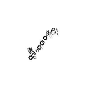 CCC(C)n1ncn(-c2ccc(N3CCN(c4ccc(OC[C@@H]5CO[C@@](Cn6cnnn6)(c6ccccc6Cl)O5)cn4)CC3)cc2)c1=O